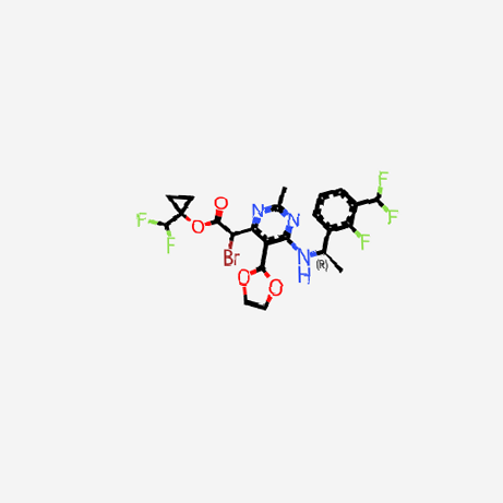 Cc1nc(N[C@H](C)c2cccc(C(F)F)c2F)c(C2OCCO2)c(C(Br)C(=O)OC2(C(F)F)CC2)n1